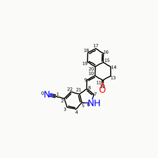 N#Cc1ccc2[nH]cc(C=C3C(=O)CCc4ccccc43)c2c1